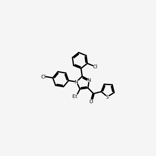 CCc1c(C(=O)c2cccs2)nc(-c2ccccc2Cl)n1-c1ccc(Cl)cc1